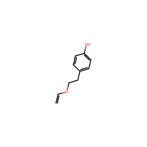 C=COCCc1ccc(O)cc1